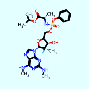 CNc1nc(NC)c2ncn([C@@H]3OC(CO[P@](=O)(N[C@@H](C)C(=O)OC(C)C)Oc4ccccc4)[C@@H](O)[C@@]3(C)F)c2n1